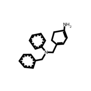 NC1=CC=C(CN(Cc2ccccc2)c2ccccc2)CC1